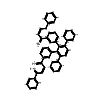 N=C(/C=C\C(=N)c1cccc(-c2c(-c3ccccc3)ccc(-c3ccccc3)c2-c2cccc(C(=N)/C=C\Cc3ccccc3)c2)c1)c1ccccc1